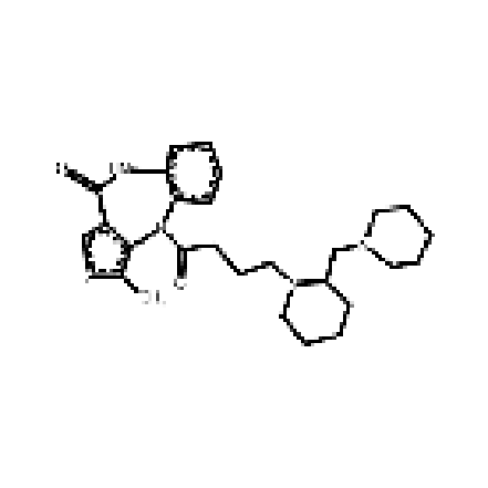 Cc1scc2c1N(C(=O)CCCN1CCCCC1CN1CCCCC1)c1ccccc1NC2=O